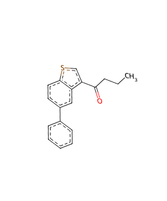 CCCC(=O)c1csc2ccc(-c3ccccc3)cc12